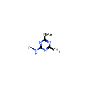 CNc1nc(C)nc(NC(C)C)n1